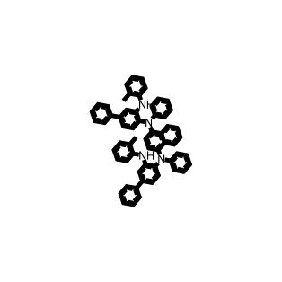 Cc1ccccc1Nc1cc(-c2ccccc2)ccc1N(c1ccccc1)c1ccc(N(c2ccccc2)c2ccc(-c3ccccc3)cc2Nc2ccccc2C)c2ccccc12